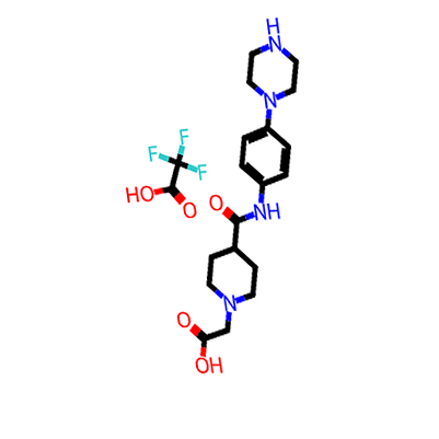 O=C(O)C(F)(F)F.O=C(O)CN1CCC(C(=O)Nc2ccc(N3CCNCC3)cc2)CC1